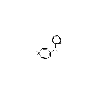 CN(C1=CC=CC(C)(C)C=C1)c1ccccc1